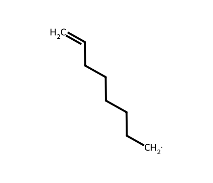 [CH2]CCCCCC=C